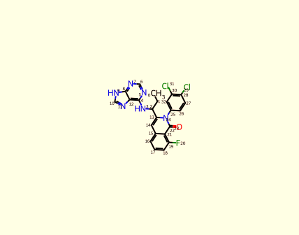 CCC(Nc1ncnc2[nH]cnc12)c1cc2cccc(F)c2c(=O)n1-c1ccc(Cl)c(Cl)c1